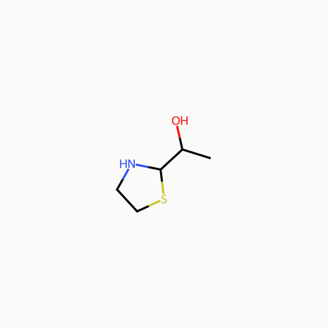 CC(O)C1NCCS1